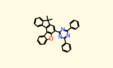 CC1(C)c2ccccc2-c2c1cc(-c1nc(-c3ccccc3)nc(-c3ccccc3)n1)c1oc3ccccc3c21